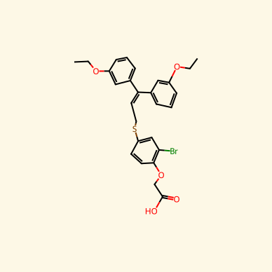 CCOc1cccc(C(=CCSc2ccc(OCC(=O)O)c(Br)c2)c2cccc(OCC)c2)c1